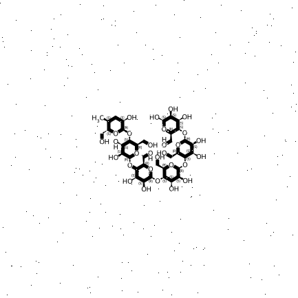 C[C@H]1C[C@H](O)[C@@H](O[C@H]2[C@@H](O)[C@H](O)[C@@H](OC3[C@@H](O)[C@H](O)[C@@H](O[C@H]4[C@@H](O)[C@H](O)[C@@H](O[C@H]5[C@@H](O)[C@H](O)[C@@H](O[C@H]6[C@@H](O)[C@H](O)[C@@H](O)O[C@@H]6CO)O[C@@H]5CO)O[C@@H]4CO)O[C@@H]3CO)O[C@@H]2CO)O[C@@H]1CO